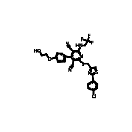 N#Cc1c(NCC(F)(F)F)nc(SCc2csc(-c3ccc(Cl)cc3)n2)c(C#N)c1-c1ccc(OCCO)cc1